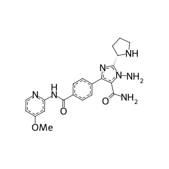 COc1ccnc(NC(=O)c2ccc(-c3nc([C@@H]4CCCN4)n(N)c3C(N)=O)cc2)c1